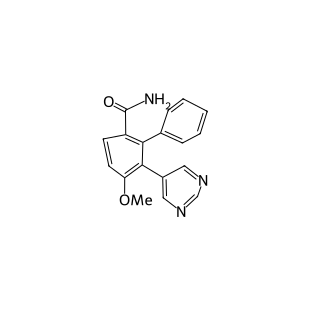 COc1ccc(C(N)=O)c(-c2ccccc2)c1-c1cncnc1